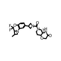 CC1CN2c3cc(C4CN(C(=O)N5CCC6OCC(=O)N[C@@H]6C5)C4)ccc3OC(F)(F)C12